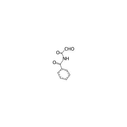 O=CC(=O)NC(=O)c1ccccc1